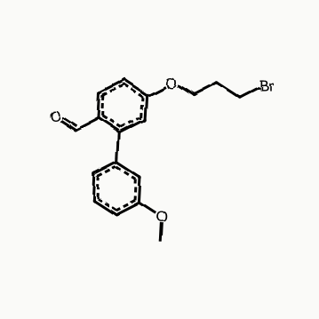 COc1cccc(-c2cc(OCCCBr)ccc2C=O)c1